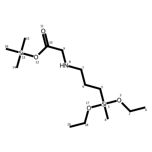 CCO[Si](C)(CCCNCC(=O)O[Si](C)(C)C)OCC